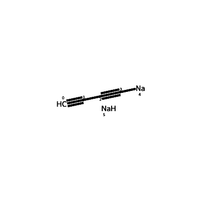 C#CC#[C][Na].[NaH]